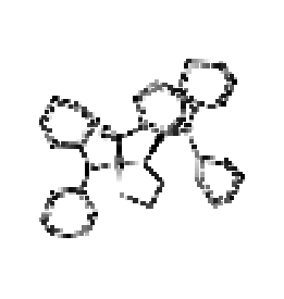 O=C(c1ccccc1)[N+]1(P(c2ccccc2)c2ccccc2)CCC[C@@H]1CP(c1ccccc1)c1ccccc1